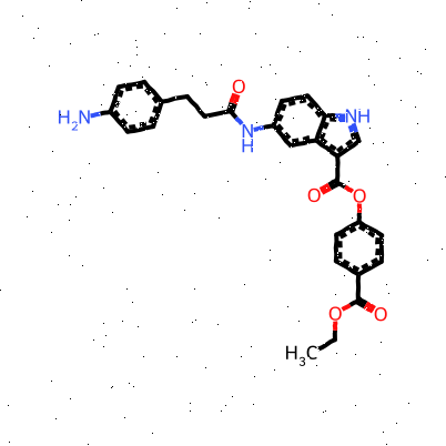 CCOC(=O)c1ccc(OC(=O)c2c[nH]c3ccc(NC(=O)CCc4ccc(N)cc4)cc23)cc1